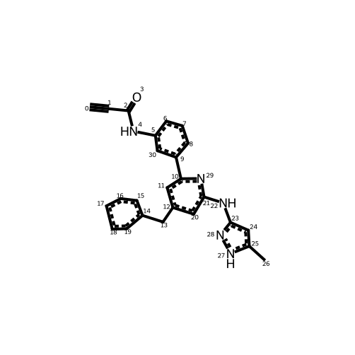 C#CC(=O)Nc1cccc(-c2cc(Cc3ccccc3)cc(Nc3cc(C)[nH]n3)n2)c1